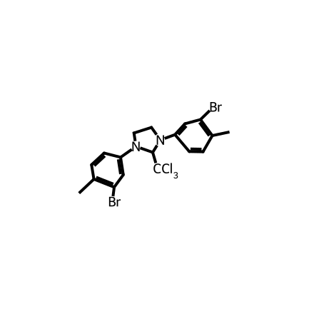 Cc1ccc(N2CCN(c3ccc(C)c(Br)c3)C2C(Cl)(Cl)Cl)cc1Br